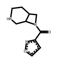 O=C(c1ccon1)N1CC2CCNCC21